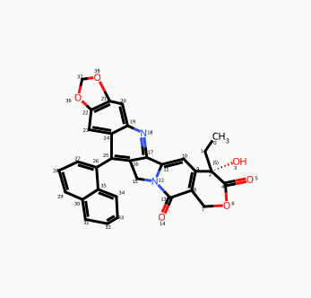 CC[C@@]1(O)C(=O)OCc2c1cc1n(c2=O)Cc2c-1nc1cc3c(cc1c2-c1cccc2ccccc12)OCO3